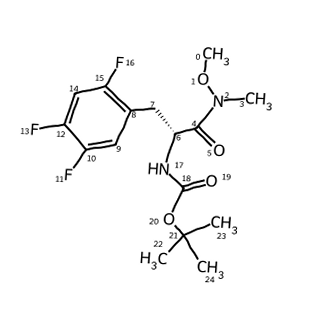 CON(C)C(=O)[C@@H](Cc1cc(F)c(F)cc1F)NC(=O)OC(C)(C)C